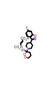 CCC1(N2CCC(c3noc4cc(F)ccc34)CC2)CCCOO1.O=C(O)C=CC(=O)O